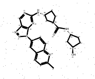 Cc1ccc2cc(-n3nnc4cnc(N[C@@H]5CC[C@@H](C(=O)N[C@@H]6CC[C@@H](O)C6)C5)nc43)ccc2n1